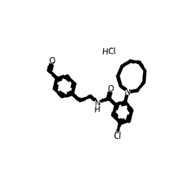 Cl.O=Cc1ccc(CCNC(=O)c2cc(Cl)ccc2N2CCCCCCCC2)cc1